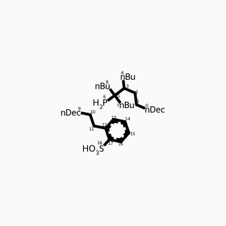 CCCCCCCCCCCCC(CCCC)C(P)(CCCC)CCCC.CCCCCCCCCCCCc1ccccc1S(=O)(=O)O